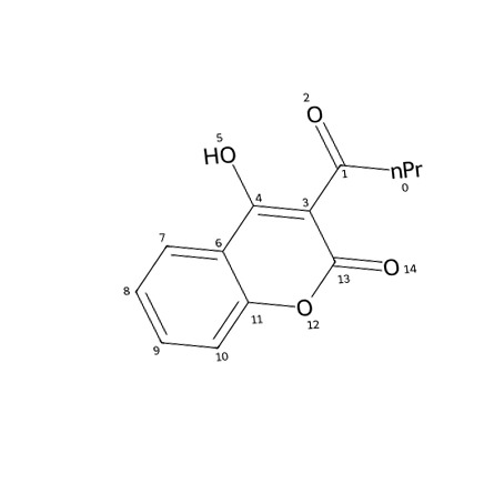 CCCC(=O)c1c(O)c2ccccc2oc1=O